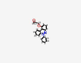 c1ccc(N=Nc2cccc(OCC3CO3)c2-c2ccccc2)cc1